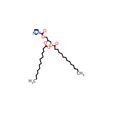 CCCCCCCCCCCCCC(=O)OCC(COC(=O)n1ccnc1)OC(=O)CCCCCCCCCCCCC